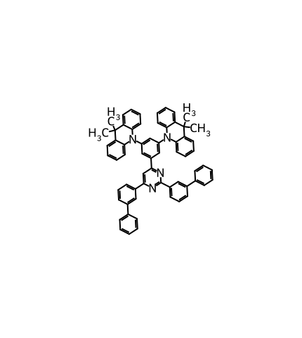 CC1(C)c2ccccc2N(c2cc(-c3cc(-c4cccc(-c5ccccc5)c4)nc(-c4cccc(-c5ccccc5)c4)n3)cc(N3c4ccccc4C(C)(C)c4ccccc43)c2)c2ccccc21